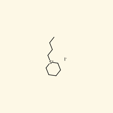 CCCC[S+]1CCCCC1.[I-]